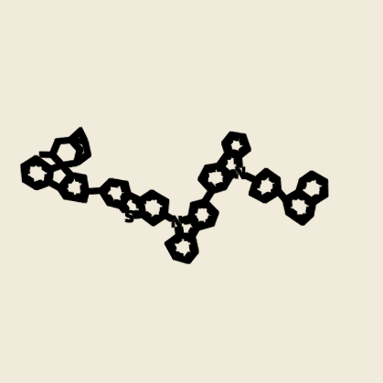 CC1CC23CC2CC(C3)C12c1ccccc1-c1ccc(-c3ccc4c(c3)sc3cc(-n5c6ccccc6c6ccc(-c7ccc8c9ccccc9n(-c9ccc(-c%10cccc%11ccccc%10%11)cc9)c8c7)cc65)ccc34)cc12